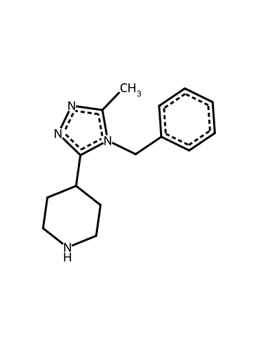 Cc1nnc(C2CCNCC2)n1Cc1ccccc1